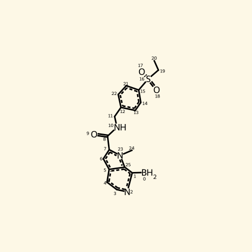 Bc1nccc2cc(C(=O)NCc3ccc(S(=O)(=O)CC)cc3)n(C)c12